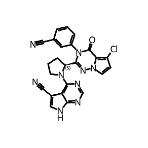 N#Cc1cccc(-n2c([C@@H]3CCCN3c3ncnc4[nH]cc(C#N)c34)nn3ccc(Cl)c3c2=O)c1